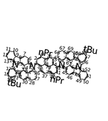 CCCc1cc(N(c2ccc3c4ccccc4n(-c4ccc(C(C)(C)C)cc4)c3c2)C2CCCc3ccccc32)c2ccc3c(CCC)cc(N(c4ccc5c6ccccc6n(-c6ccc(C(C)(C)C)cc6)c5c4)C4CCCc5ccccc54)c4ccc1c2c34